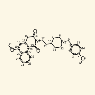 COc1ccc(CN2CCC(CCN3C(=O)Cc4cc(OC)c5ccccc5c4C3=O)CC2)cc1